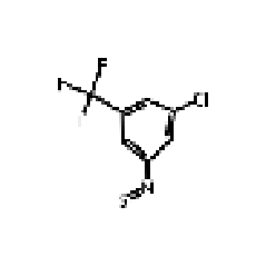 FC(F)(F)c1cc(Cl)cc(N=S)c1